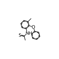 CC(=S)Nc1cccc(C)c1Oc1ccccc1